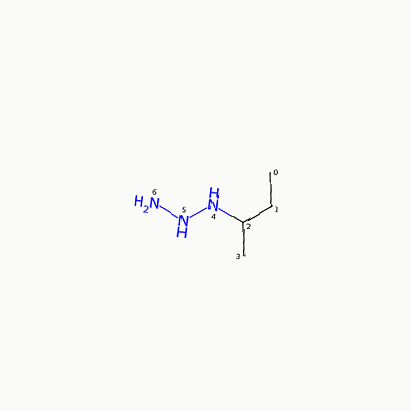 CCC(C)NNN